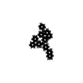 c1ccc(-c2ccccc2-c2ccc(N(c3ccc(-c4ccc5ccccc5c4)cc3)c3cccc(-c4cccc5c4c4c6ccccc6ccc4n5-c4ccccc4)c3)cc2)cc1